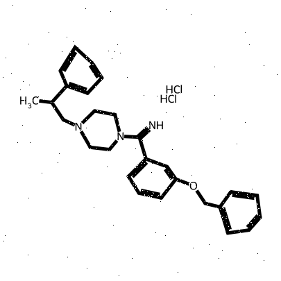 CC(CN1CCN(C(=N)c2cccc(OCc3ccccc3)c2)CC1)c1ccccc1.Cl.Cl